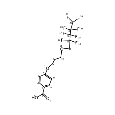 O=C(O)c1ccc(OCCCOCC(F)(F)C(F)(F)C(F)(F)C(F)F)cc1